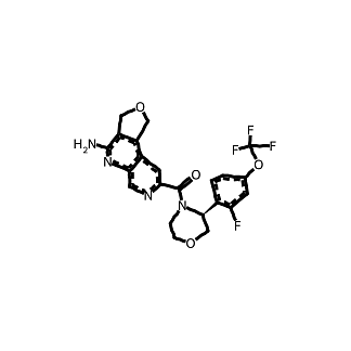 Nc1nc2cnc(C(=O)N3CCOC[C@@H]3c3ccc(OC(F)(F)F)cc3F)cc2c2c1COC2